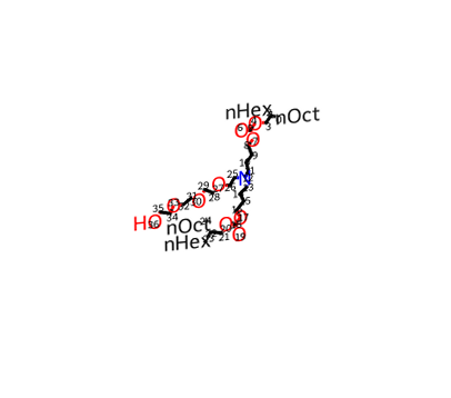 CCCCCCCCC(CCCCCC)COC(=O)OCCCCN(CCCCOC(=O)OCC(CCCCCC)CCCCCCCC)CCOCCOCCOCCO